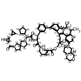 CO[C@@H](C)c1ncc(N2CCN3CCOC[C@@H]3C2)cc1-c1c2c3cc(ccc3n1CC(F)(F)F)-c1cccc(c1)C[C@H](NC(=O)[C@H](C1CCCC1)N1CC[C@]3(CCN(C(=O)[C@@H]4N[C@@H]4C4CC4)C3)C1)C(=O)N1CCC[C@H](N1)C(=O)OCC(C)(C)C2